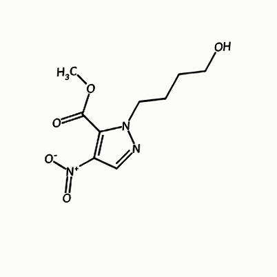 COC(=O)c1c([N+](=O)[O-])cnn1CCCCO